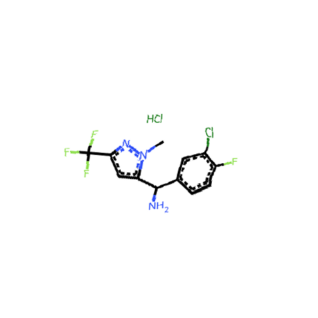 Cl.Cn1nc(C(F)(F)F)cc1C(N)c1ccc(F)c(Cl)c1